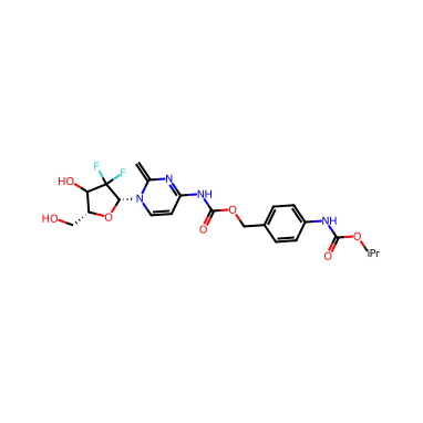 C=C1N=C(NC(=O)OCc2ccc(NC(=O)OC(C)C)cc2)C=CN1[C@@H]1O[C@H](CO)C(O)C1(F)F